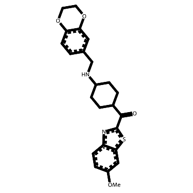 COc1ccc2nc(C(=O)C3CCC(NCc4ccc5c(c4)OCCO5)CC3)sc2c1